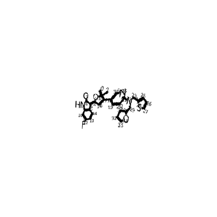 CC1(C)OC(=C2C(=O)Nc3cc(F)ccc32)C=C1c1ccc(N(Cc2cccs2)CC2CCCO2)nc1